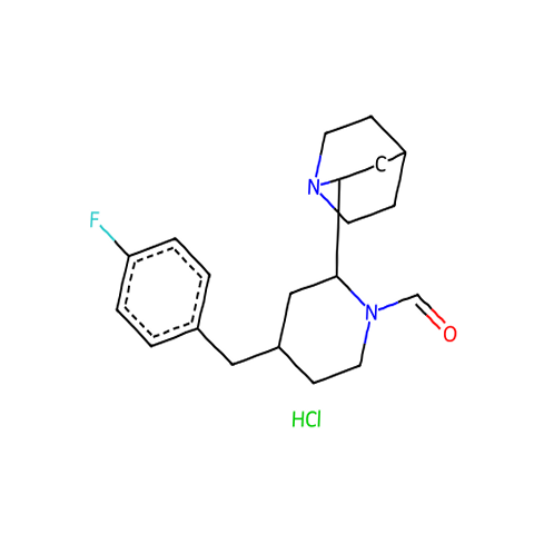 Cl.O=CN1CCC(Cc2ccc(F)cc2)CC1C1CC2CCN1CC2